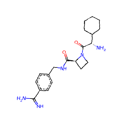 N=C(N)c1ccc(CNC(=O)[C@@H]2CCN2C(=O)[C@@H](N)C2CCCCC2)cc1